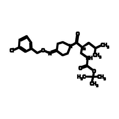 CC(C)C[C@@H](CNC(=O)OC(C)(C)C)C(=O)N1CCC(=NOCc2cccc(Cl)c2)CC1